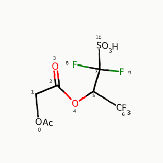 CC(=O)OCC(=O)OC(C(F)(F)F)C(F)(F)S(=O)(=O)O